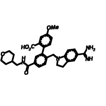 COc1ccc(-c2cc(C(=O)NCC3CCOCC3)ccc2CN2CCc3cc(C(=N)N)ccc32)c(C(=O)O)c1